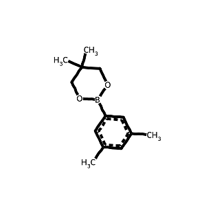 Cc1cc(C)cc(B2OCC(C)(C)CO2)c1